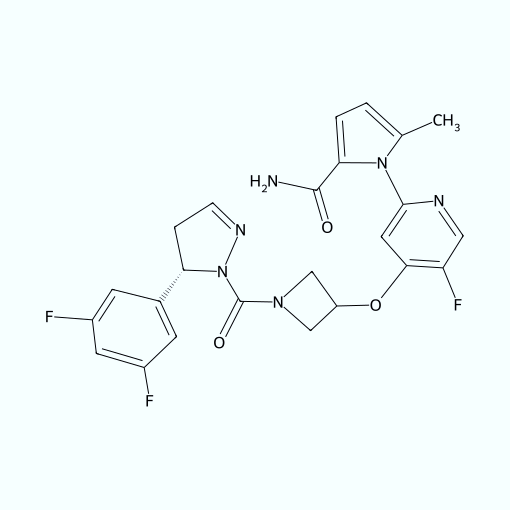 Cc1ccc(C(N)=O)n1-c1cc(OC2CN(C(=O)N3N=CC[C@H]3c3cc(F)cc(F)c3)C2)c(F)cn1